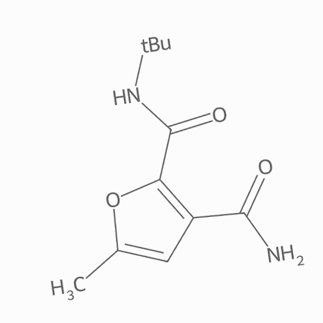 Cc1cc(C(N)=O)c(C(=O)NC(C)(C)C)o1